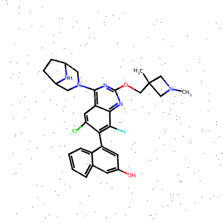 CN1CC(C)(COc2nc(N3CC4CCC(C3)N4)c3cc(Cl)c(-c4cc(O)cc5ccccc45)c(F)c3n2)C1